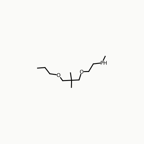 CCCOCC(C)(C)COCCPC